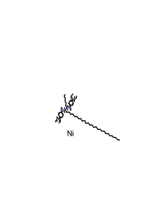 CCCCCCCCCCCCCCCCCCCCCCCCCCCCC(=N\c1ccc(N(CC)CC)cc1)/C(CCCCCC)=N/c1ccc(N(CC)CC)cc1.[Ni]